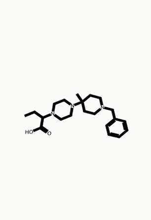 CCC(C(=O)O)N1CCN(C2(C)CCN(Cc3ccccc3)CC2)CC1